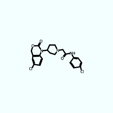 O=C(CN1CCC(N2C(=O)OCc3cc(Cl)ccc32)CC1)Nc1ccc(Cl)cc1